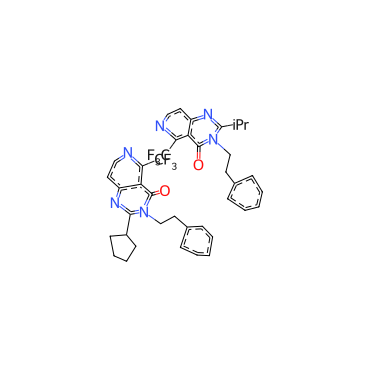 CC(C)c1nc2ccnc(C(F)(F)F)c2c(=O)n1CCc1ccccc1.O=c1c2c(C(F)(F)F)nccc2nc(C2CCCC2)n1CCc1ccccc1